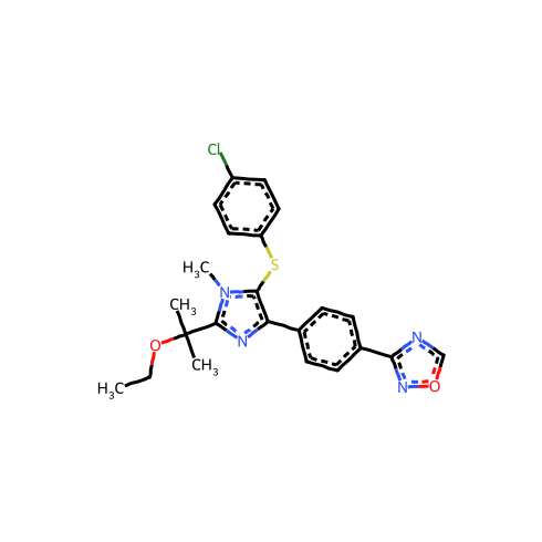 CCOC(C)(C)c1nc(-c2ccc(-c3ncon3)cc2)c(Sc2ccc(Cl)cc2)n1C